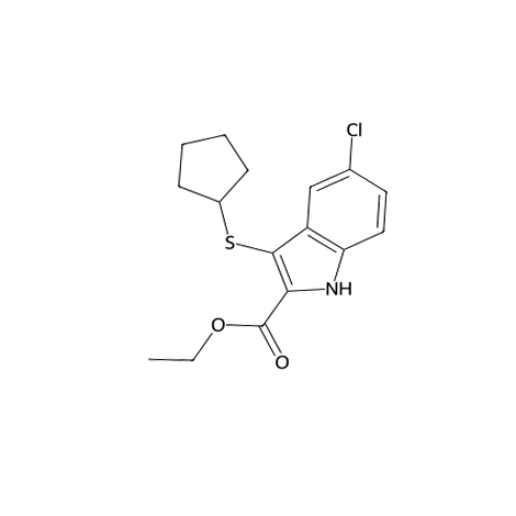 CCOC(=O)c1[nH]c2ccc(Cl)cc2c1SC1CCCC1